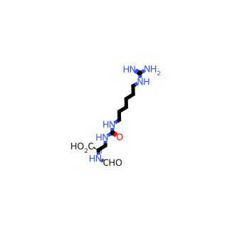 N=C(N)NCCCCCCNC(=O)NC[C@H](NC=O)C(=O)O